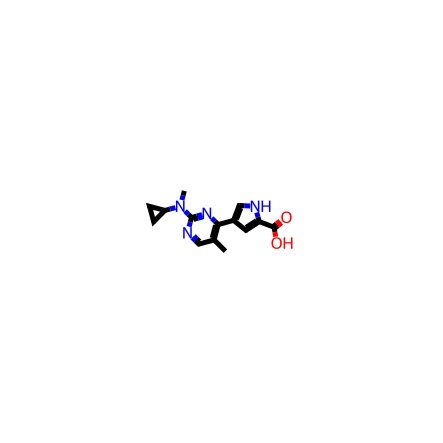 Cc1cnc(N(C)C2CC2)nc1-c1c[nH]c(C(=O)O)c1